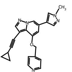 Cn1cc(-c2cc(OCc3ccncc3)c3c(C#CC4CC4)cnn3c2)cn1